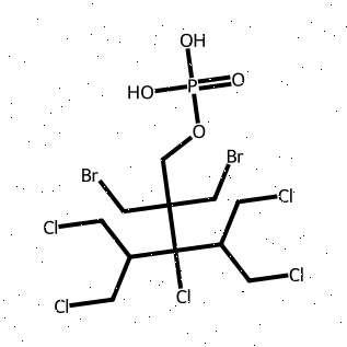 O=P(O)(O)OCC(CBr)(CBr)C(Cl)(C(CCl)CCl)C(CCl)CCl